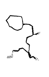 C/C=C(\CC[C@H](CC)CC1CCCCC1)COC